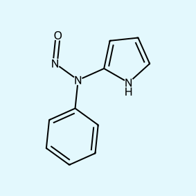 O=NN(c1ccccc1)c1ccc[nH]1